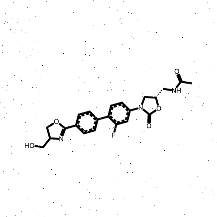 CC(=O)NC[C@H]1CN(c2ccc(-c3ccc(C4=NC(CO)CO4)cc3)c(F)c2)C(=O)O1